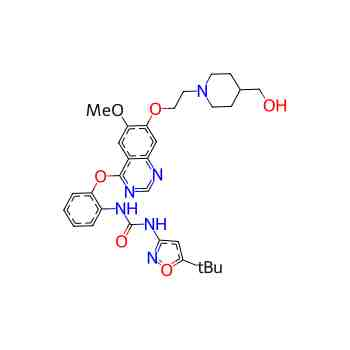 COc1cc2c(Oc3ccccc3NC(=O)Nc3cc(C(C)(C)C)on3)ncnc2cc1OCCN1CCC(CO)CC1